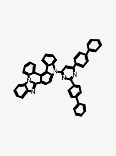 c1ccc(-c2ccc(-c3cc(-n4c5ccccc5c5c6c7ccccc7n7c8ccccc8nc7c6ccc54)nc(-c4ccc(-c5ccccc5)cc4)n3)cc2)cc1